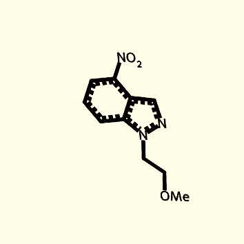 COCCn1ncc2c([N+](=O)[O-])cccc21